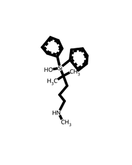 CNCCCC(C)(C)[Si](O)(c1ccccc1)c1ccccc1